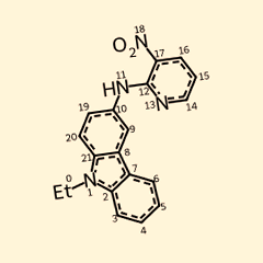 CCn1c2ccccc2c2cc(Nc3ncccc3[N+](=O)[O-])ccc21